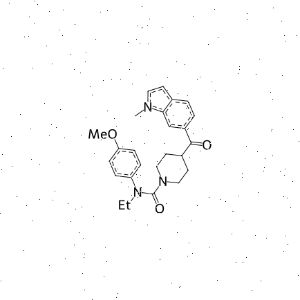 CCN(C(=O)N1CCC(C(=O)c2ccc3ccn(C)c3c2)CC1)c1ccc(OC)cc1